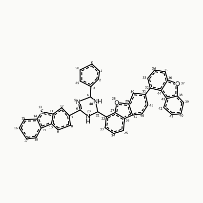 c1ccc(C2N=C(c3ccc4c(c3)sc3ccccc34)NC(c3cccc4c3oc3cc(-c5cccc6oc7ccccc7c56)ccc34)N2)cc1